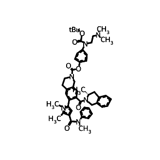 Cc1c(C(=O)N(C)c2ccccc2)cc(-c2cc3c(cc2C(=O)N2Cc4ccccc4C[C@H]2C)CN(C(=O)Oc2ccc(N(CCN(C)C)C(=O)OC(C)(C)C)cc2)CC3)n1C